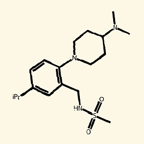 CC(C)c1ccc(N2CCC(N(C)C)CC2)c(CNS(C)(=O)=O)c1